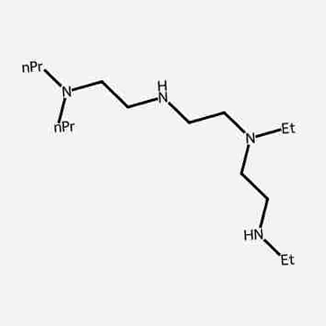 CCCN(CCC)CCNCCN(CC)CCNCC